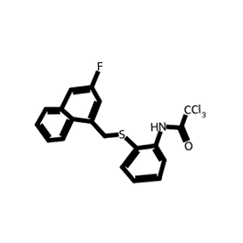 O=C(Nc1ccccc1SCc1cc(F)cc2ccccc12)C(Cl)(Cl)Cl